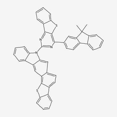 CC1(C)c2ccccc2-c2ccc(-c3nc(-n4c5ccccc5c5cc6c(ccc7c8ccccc8sc67)cc54)nc4c3sc3ccccc34)cc21